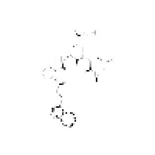 C=NC(=O)[C@H](CC(C)C)NC(=O)[C@@H](CCC(=O)O)NC(=O)[C@@H]1CCCN1C(=O)CCc1c[nH]c2ccccc12